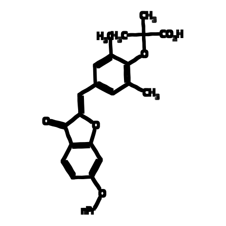 CCCOc1ccc2c(c1)OC(=Cc1cc(C)c(OC(C)(C)C(=O)O)c(C)c1)C2=O